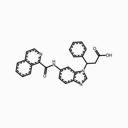 O=C(O)CC(c1ccccc1)n1cnc2ccc(NC(=O)c3nccc4ccccc34)cc21